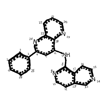 c1ccc(-c2cc(Nc3nccc4cnccc34)c3ncccc3n2)cc1